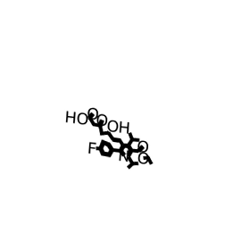 CCOC(=O)c1c(C(C)C)nc(-c2ccc(F)cc2)c(C=CC(O)CC(=O)CC(=O)O)c1C(C)C